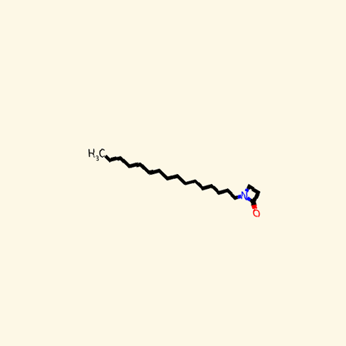 CCCCCCCCCCCCCCCCN1CCC1=O